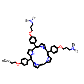 CCCCCCCCCCCCOc1ccc(C2=C3C=CC(=N3)C(c3ccc(OCCCN(CC)CC)cc3)=C3C=CC(=N3)C(c3ccc(OCCCN(CC)CC)cc3)=C3C=CC(=N3)C=C3C=CC2=N3)cc1